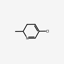 CC1CC=C(Cl)C=N1